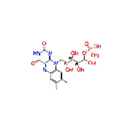 Cc1cc2nc3c(=O)[nH]c(=O)nc-3n(C[C@@H](O)[C@@H](O)[C@@H](O)C(O)OP(=O)(O)O)c2cc1C